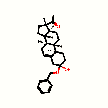 CC(=O)[C@@]1(C)CC[C@H]2[C@@H]3CC=C4C[C@@](O)(OCc5ccccc5)CC[C@]4(C)[C@H]3CC[C@@]21C